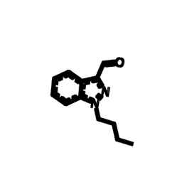 CCCCn1nc(C=O)c2ccccc21